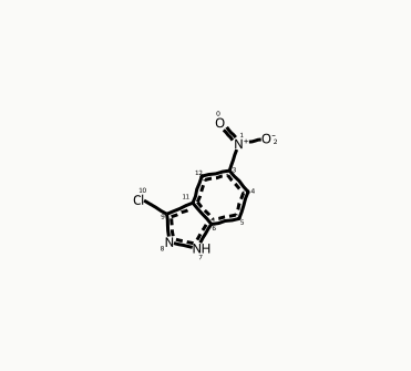 O=[N+]([O-])c1ccc2[nH]nc(Cl)c2c1